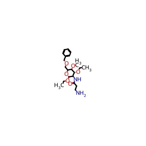 CCOC1OC(COCc2ccccc2)[C@@H](OC)[C@H](OCC)C1NC(=O)CCN